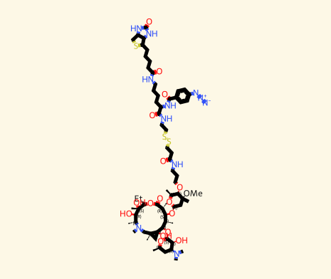 CC[C@H]1OC(=O)[C@H](C)[C@@H](O[C@H]2C[C@@](C)(OC)[C@@H](OCCCNC(=O)CCSSCCNC(=O)C(CCCCNC(=O)CCCCC3SCC4NC(=O)NC43)NC(=O)c3ccc(N=[N+]=[N-])cc3)[C@H](C)O2)[C@H](C)[C@@H](O[C@@H]2O[C@H](C)C[C@H](N(C)C)[C@H]2O)[C@]2(O)C[C@@]2(C)CN(C)[C@H](C)[C@@H](O)[C@]1(C)O